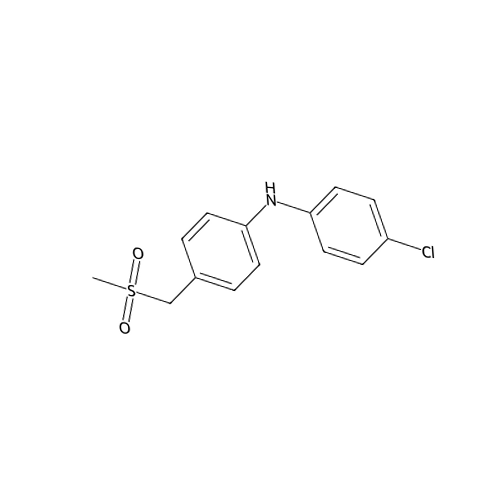 CS(=O)(=O)Cc1ccc(Nc2ccc(Cl)cc2)cc1